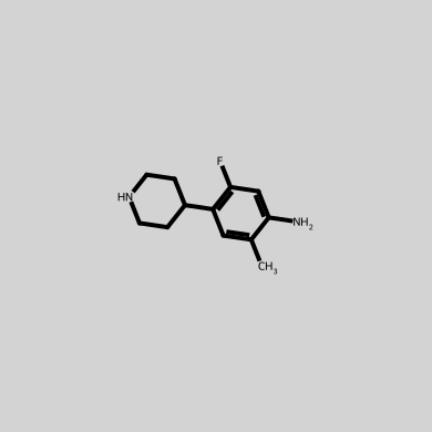 Cc1cc(C2CCNCC2)c(F)cc1N